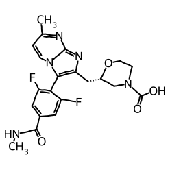 CNC(=O)c1cc(F)c(-c2c(C[C@H]3CN(C(=O)O)CCO3)nc3nc(C)ccn23)c(F)c1